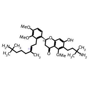 COc1ccc([C@@H]2CC(=O)c3c(cc(O)c(CCC(C)(C)N)c3OC)O2)c(C/C=C(\C)CCCC(C)(C)N)c1OC